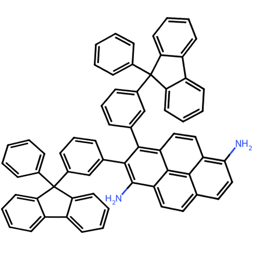 Nc1ccc2ccc3c(N)c(-c4cccc(C5(c6ccccc6)c6ccccc6-c6ccccc65)c4)c(-c4cccc(C5(c6ccccc6)c6ccccc6-c6ccccc65)c4)c4ccc1c2c34